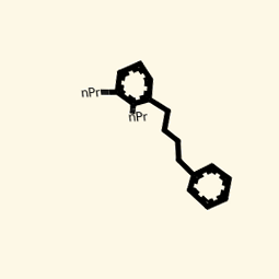 CCCc1cccc(CCCCc2ccccc2)c1CCC